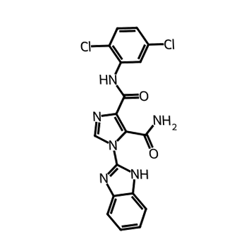 NC(=O)c1c(C(=O)Nc2cc(Cl)ccc2Cl)ncn1-c1nc2ccccc2[nH]1